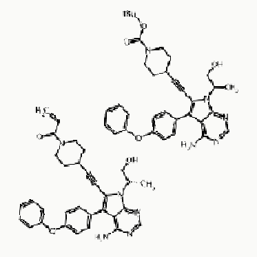 C=CC(=O)N1CCC(C#Cc2c(-c3ccc(Oc4ccccc4)cc3)c3c(N)ncnc3n2[C@@H](C)CO)CC1.CC(CO)n1c(C#CC2CCN(C(=O)OC(C)(C)C)CC2)c(-c2ccc(Oc3ccccc3)cc2)c2c(N)ncnc21